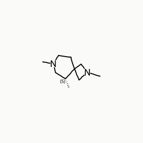 C[C@@H]1CN(C)CCC12CN(C)C2